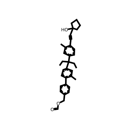 CCC(CC)(c1ccc(C#CC2(O)CCCC2)c(C)c1)c1ccc(-c2ccc(COC=O)cc2)c(C)c1